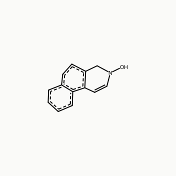 ON1C=Cc2c(ccc3ccccc23)C1